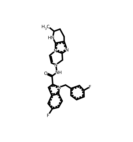 CC1CCc2nc3n(c2N1)C=CN(NC(=O)c1cc2cc(F)ccc2n1Cc1cccc(F)c1)C3